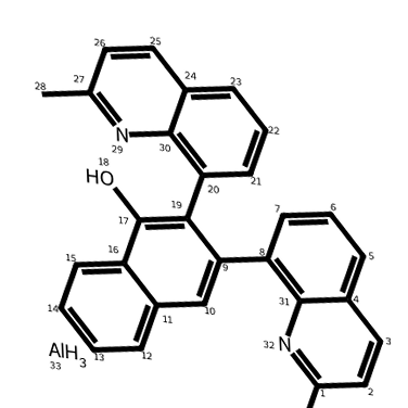 Cc1ccc2cccc(-c3cc4ccccc4c(O)c3-c3cccc4ccc(C)nc34)c2n1.[AlH3]